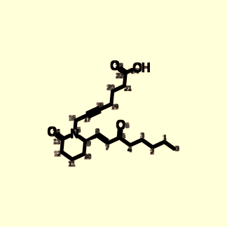 CCCCCC(=O)/C=C/[C@H]1CCCC(=O)N1CC#CCCCC(=O)O